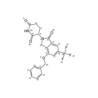 O=C1CCC(N2Cc3c(OCc4ccccc4)cc(C(F)(F)F)cc3C2=O)C(=O)N1